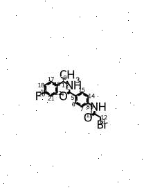 C[C@H](NC(=O)c1ccc(NC(=O)CBr)cc1)c1ccc(F)cc1